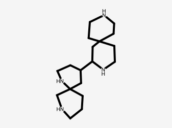 C1CNCC2(C1)CC(C1CC3(CCNCC3)CCN1)CCN2